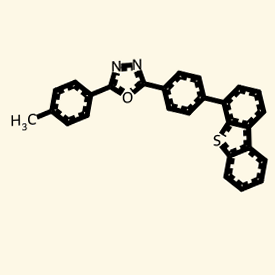 Cc1ccc(-c2nnc(-c3ccc(-c4cccc5c4sc4ccccc45)cc3)o2)cc1